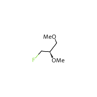 COC[C@H](CF)OC